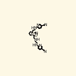 N#Cc1ccc(NCCNCC(=O)N2CCC[C@@]2(C#N)CCNc2ccc(C#N)cn2)nc1